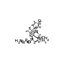 CC1(C)CN=C(C2(c3ccc(Cl)cc3)CCC2)c2cc(OCCN)ccc21